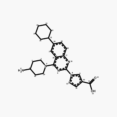 NC1CCN(c2nc(-n3cc(C(=O)O)cn3)nc3ccc(C4CCCCC4)cc23)CC1